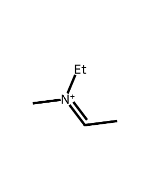 C/C=[N+](/C)CC